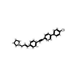 Clc1ccc(-c2ccc(C#Cc3ccc(/C=C/CN4CCCC4)cc3)nc2)cc1